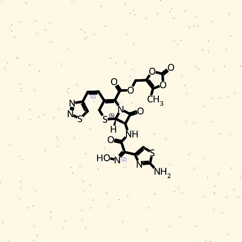 Cc1oc(=O)oc1COC(=O)C1=C(/C=C\c2csnn2)CS[C@H]2C(NC(=O)/C(=N\O)c3csc(N)n3)C(=O)N12